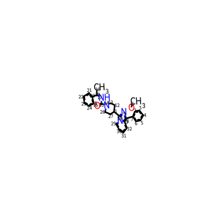 COc1ccccc1-c1nc(C2CCN(C(=O)NC(C)c3ccccc3)CC2)n2ccccc12